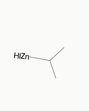 C[CH](C)[Zn].I